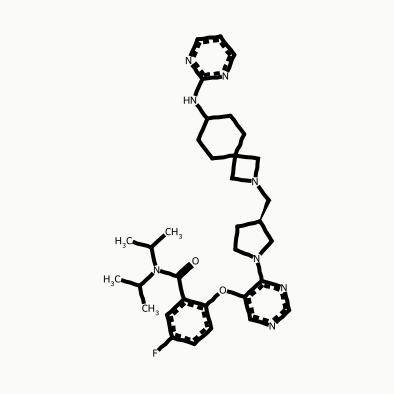 CC(C)N(C(=O)c1cc(F)ccc1Oc1cncnc1N1CC[C@@H](CN2CC3(CCC(Nc4ncccn4)CC3)C2)C1)C(C)C